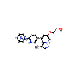 N#Cc1cnn2cc(OCCO)cc(-c3ccc(N4CC5CC(C4)N5C(=O)O)nc3)c12